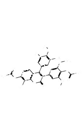 COc1cc(-c2c(-c3cc(C)c(OC)c(C)c3)c3ccc(OC(C)=O)c(C)c3oc2=O)cc(OC)c1OC(C)=O